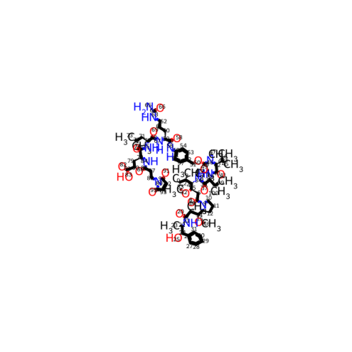 CC[C@H](C)[C@@H]([C@@H](CC(=O)N1CCC[C@H]1[C@H](OC)[C@@H](C)C(=O)N[C@H](C)[C@@H](O)c1ccccc1)OC)N(C)C(=O)[C@@H](NC(=O)[C@H](C(C)C)N(C)C(=O)OCc1ccc(NC(=O)[C@H](CCCNC(N)=O)NC(=O)[C@H](CC(C)C)NC(=O)[C@H](CCC(=O)O)NC(=O)CCN2C(=O)C=CC2=O)cc1)C(C)C